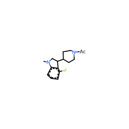 CC(=O)N1CCC(C2CN(C)c3cccc(F)c32)CC1